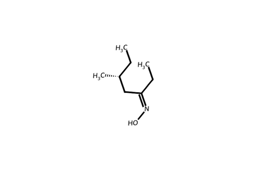 CC/C(C[C@H](C)CC)=N/O